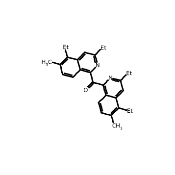 CCc1cc2c(CC)c(C)ccc2c(C(=O)c2nc(CC)cc3c(CC)c(C)ccc23)n1